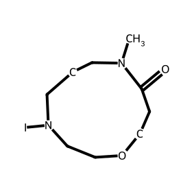 CN1CCCN(I)CCOCCC1=O